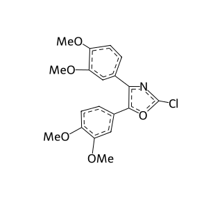 COc1ccc(-c2nc(Cl)oc2-c2ccc(OC)c(OC)c2)cc1OC